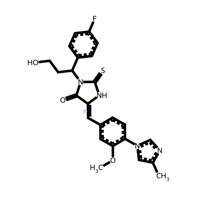 COc1cc(/C=C2\NC(=S)N(C(CCO)c3ccc(F)cc3)C2=O)ccc1-n1cnc(C)c1